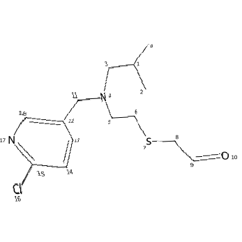 CC(C)CN(CCSCC=O)Cc1ccc(Cl)nc1